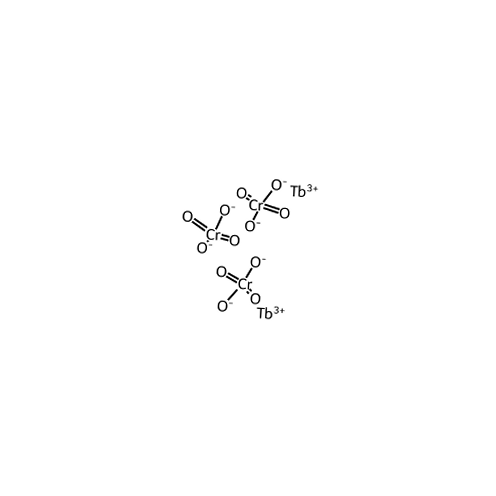 [O]=[Cr](=[O])([O-])[O-].[O]=[Cr](=[O])([O-])[O-].[O]=[Cr](=[O])([O-])[O-].[Tb+3].[Tb+3]